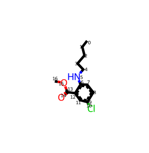 CCCCCNc1ccc(Cl)cc1C(=O)OC